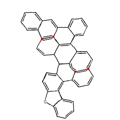 C1=CC2=C(c3ccccc3-c3ccc4ccccc4c3)c3ccccc3C(c3ccc4oc5ccccc5c4c3-c3ccccc3)C2C=C1